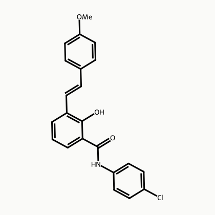 COc1ccc(C=Cc2cccc(C(=O)Nc3ccc(Cl)cc3)c2O)cc1